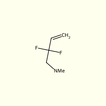 C=CC(F)(F)CNC